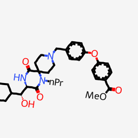 CCCN1C(=O)[C@@H]([C@H](O)C2CCCCC2)NC(=O)C12CCN(Cc1ccc(Oc3ccc(C(=O)OC)cc3)cc1)CC2